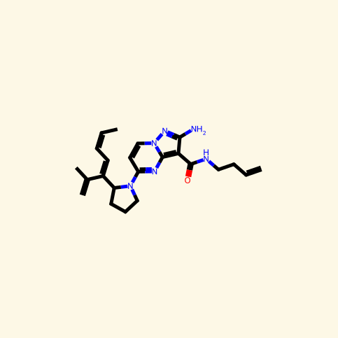 C=CCCNC(=O)c1c(N)nn2ccc(N3CCCC3/C(=C/C=C\C)C(=C)C)nc12